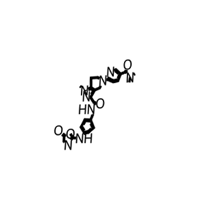 CN(C)C(=O)c1ccc(N2CCc3c(c(C(=O)NCc4ccc(NC5=NCC(=O)O5)cc4)nn3C)C2)nc1